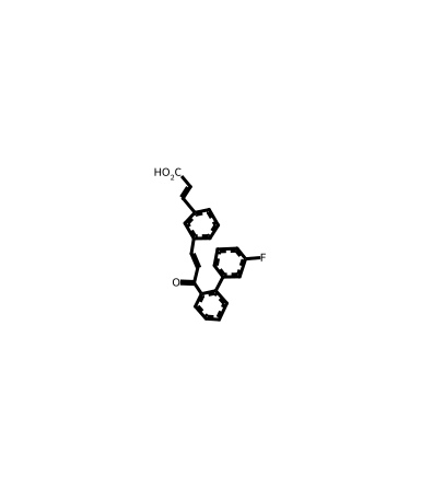 O=C(O)/C=C/c1cccc(/C=C/C(=O)c2ccccc2-c2cccc(F)c2)c1